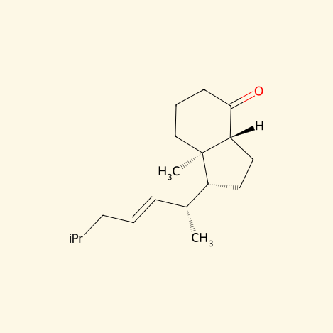 CC(C)C/C=C/[C@@H](C)[C@H]1CC[C@H]2C(=O)CCC[C@]12C